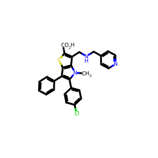 Cn1c(-c2ccc(Cl)cc2)c(-c2ccccc2)c2sc(C(=O)O)c(CNCc3ccncc3)c21